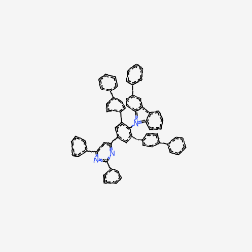 c1ccc(-c2ccc(-c3cc(-c4cc(-c5ccccc5)nc(-c5ccccc5)n4)cc(-c4ccc(-c5ccccc5)cc4)c3-n3c4ccccc4c4cc(-c5ccccc5)ccc43)cc2)cc1